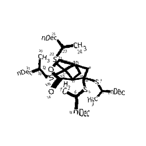 CCCCCCCCCCC(C)SC1(SC(C)CCCCCCCCCC)CC23COC(=O)C1(C2)C3(SC(C)CCCCCCCCCC)SC(C)CCCCCCCCCC